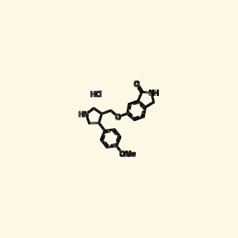 COc1ccc(C2CNCC2COc2ccc3c(c2)C(=O)NC3)cc1.Cl